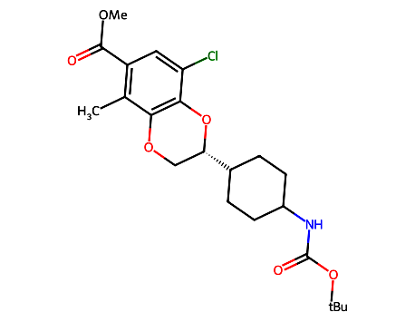 COC(=O)c1cc(Cl)c2c(c1C)OC[C@@H](C1CCC(NC(=O)OC(C)(C)C)CC1)O2